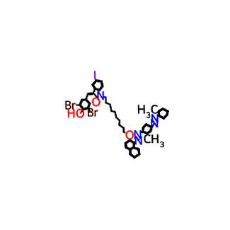 Cc1ccccc1/N=N/c1ccc(/N=N/c2c(OCCCCCCCCCCN3C(=O)/C(=C\c4cc(Br)c(O)c(Br)c4)c4cc(I)ccc43)ccc3ccccc23)c(C)c1